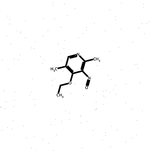 CCOc1c(C)cnc(C)c1N=O